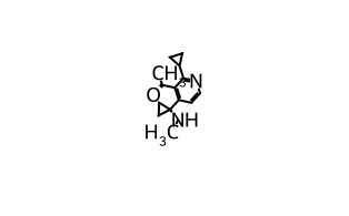 CNC1(c2ccnc(C3CC3)c2C(C)=O)CC1